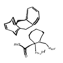 CCCCCN1CCCC1(C(=O)O)C(=O)OC.c1ccc2c(c1)Cc1ccccc1-2